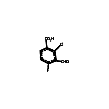 O=Cc1c(F)ccc(C(=O)O)c1Cl